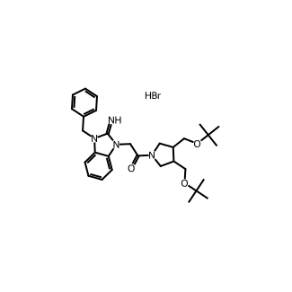 Br.CC(C)(C)OCC1CN(C(=O)Cn2c(=N)n(Cc3ccccc3)c3ccccc32)CC1COC(C)(C)C